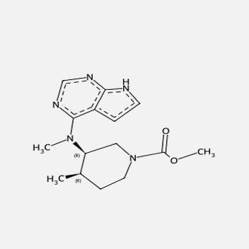 COC(=O)N1CC[C@@H](C)[C@@H](N(C)c2ncnc3[nH]ccc23)C1